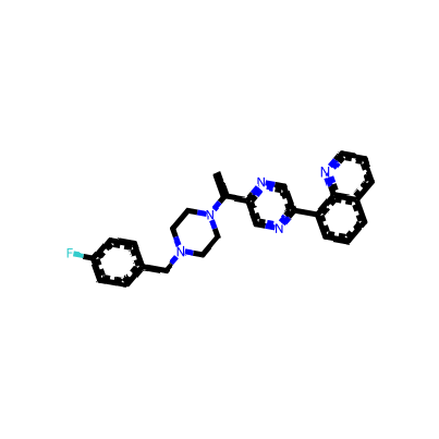 C=C(c1cnc(-c2cccc3cccnc23)cn1)N1CCN(Cc2ccc(F)cc2)CC1